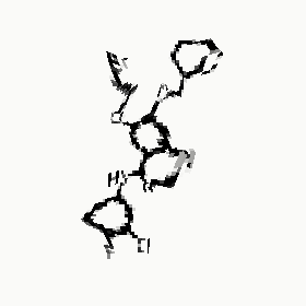 Fc1ccc(Nc2ncnc3cc(OCC4CCCO4)c(OCCBr)cc23)cc1Cl